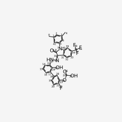 Cc1cc(C)cc(N2C(=O)C(=NNc3cccc(-c4ccc(F)c(OC(=O)O)c4)c3O)c3ccc(C(F)(F)F)cc32)c1